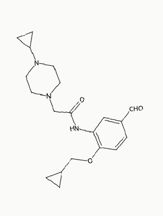 O=Cc1ccc(OCC2CC2)c(NC(=O)CN2CCN(C3CC3)CC2)c1